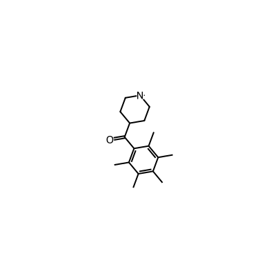 Cc1c(C)c(C)c(C(=O)C2CC[N]CC2)c(C)c1C